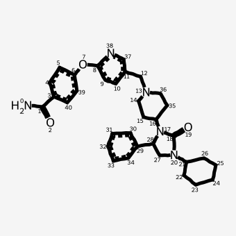 NC(=O)c1ccc(Oc2ccc(CN3CCC(N4C(=O)N(C5CCCCC5)CC4c4ccccc4)CC3)cn2)cc1